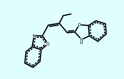 CCC(=Cc1nc2ccccc2o1)C=C1Nc2ccccc2O1